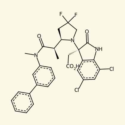 C[C@@H](C(=O)N(C)c1cccc(-c2ccccc2)c1)[C@H]1CC(F)(F)CN1[C@@]1(CC(=O)O)C(=O)Nc2c(Cl)cc(Cl)cc21